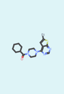 CCc1cc2c(N3CCN(C(=O)C4CCCCC4)CC3)ncnc2s1